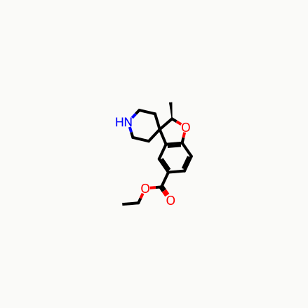 CCOC(=O)c1ccc2c(c1)C1(CCNCC1)[C@@H](C)O2